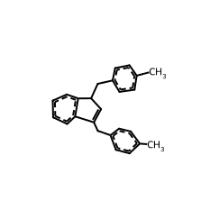 Cc1ccc(CC2=CC(Cc3ccc(C)cc3)c3ccccc32)cc1